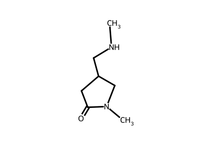 CNCC1CC(=O)N(C)C1